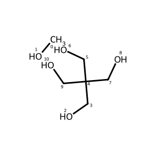 CO.OCC(CO)(CO)CO